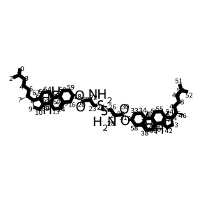 CC(C)CCC[C@@H](C)[C@H]1CC[C@H]2[C@@H]3CC=C4C[C@@H](OC(=O)[C@@H](N)CSSC[C@H](N)C(=O)O[C@H]5CC[C@@]6(C)C(=CC[C@H]7[C@@H]8CC[C@H]([C@H](C)CCCC(C)C)[C@@]8(C)CC[C@@H]76)C5)CC[C@]4(C)[C@H]3CC[C@]12C